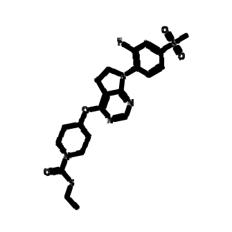 CCSC(=O)N1CCC(Oc2ncnc3c2CCN3c2ccc(S(C)(=O)=O)cc2F)CC1